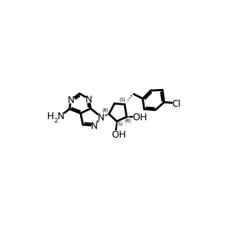 Nc1ncnc2c1cnn2[C@@H]1C[C@H](Cc2ccc(Cl)cc2)[C@@H](O)[C@H]1O